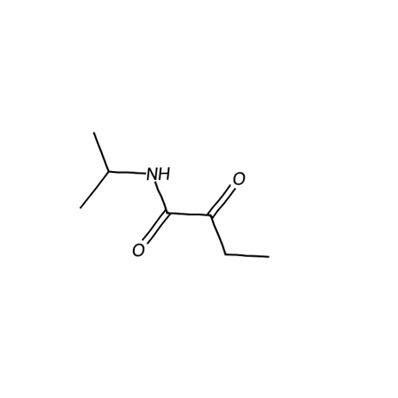 CCC(=O)C(=O)NC(C)C